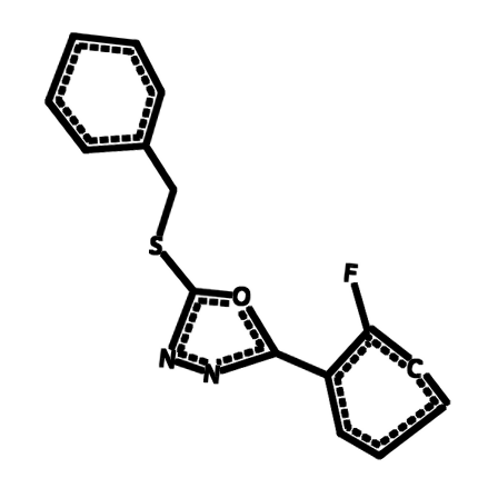 Fc1ccccc1-c1nnc(SCc2ccccc2)o1